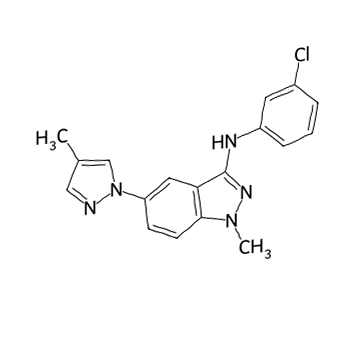 Cc1cnn(-c2ccc3c(c2)c(Nc2cccc(Cl)c2)nn3C)c1